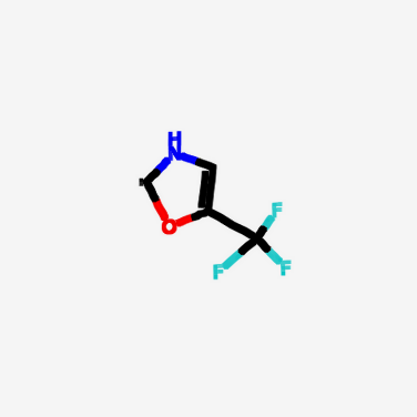 FC(F)(F)C1=CN[C]O1